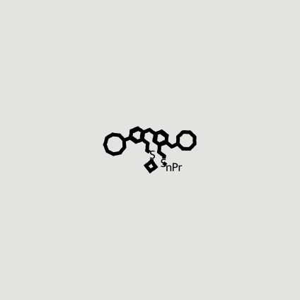 CCCSCCc1cc(Cc2ccc(C3CCCCCCCC3)cc2CCSC2CCC2)ccc1CC1CCCCCCC1